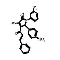 O=C(/C=C/c1ccccc1)C1=C(O)C(=O)N(c2cccc(C(F)(F)F)c2)C1c1ccc([N+](=O)[O-])cc1